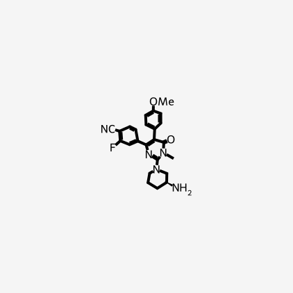 COc1ccc(-c2c(-c3ccc(C#N)c(F)c3)nc(N3CCC[C@H](N)C3)n(C)c2=O)cc1